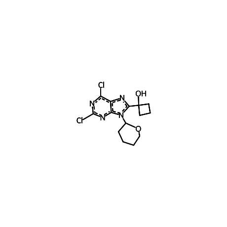 OC1(c2nc3c(Cl)nc(Cl)nc3n2C2CCCCO2)CCC1